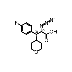 [N-]=[N+]=N[C@H](C(=O)O)[C@H](c1ccc(F)cc1)C1CCOCC1